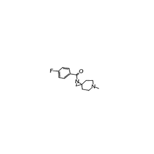 CN1CCC2(CC1)CN2C(=O)c1ccc(F)cc1